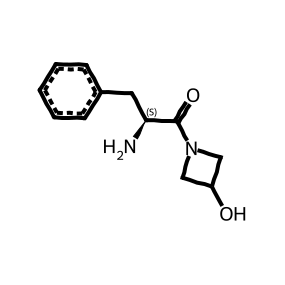 N[C@@H](Cc1ccccc1)C(=O)N1CC(O)C1